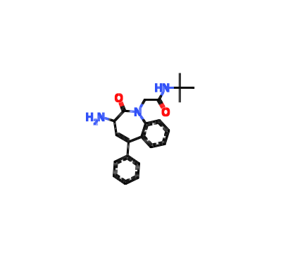 CC(C)(C)NC(=O)CN1C(=O)C(N)C=C(c2ccccc2)c2ccccc21